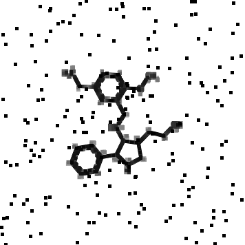 CCc1ccc(OC)c(CNC2C(CCO)CNC2c2ccccc2)c1